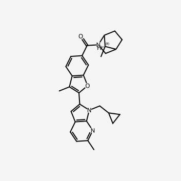 Cc1ccc2cc(-c3oc4cc(C(=O)N5CC6CCC5[C@@H]6C)ccc4c3C)n(CC3CC3)c2n1